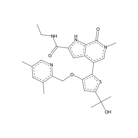 CCNC(=O)c1cc2c(-c3sc(C(C)(C)O)cc3OCc3ncc(C)cc3C)cn(C)c(=O)c2[nH]1